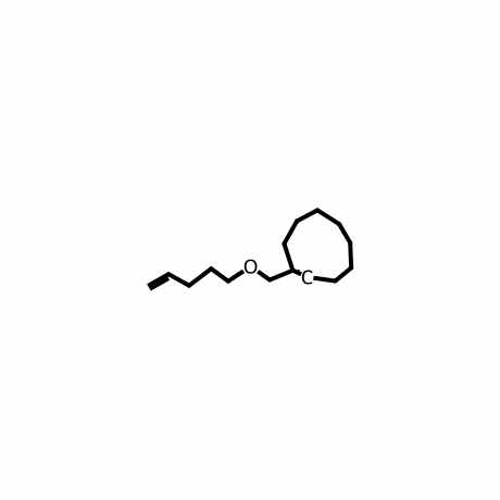 C=CCCCOC[C]1CCCCCCCC1